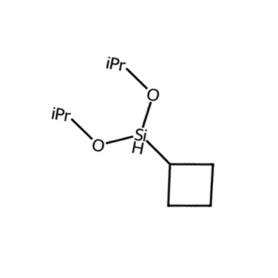 CC(C)O[SiH](OC(C)C)C1CCC1